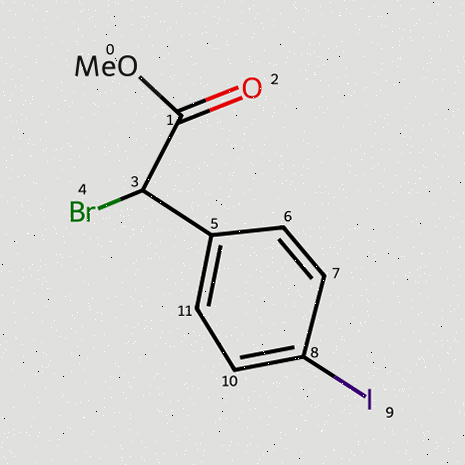 COC(=O)C(Br)c1ccc(I)cc1